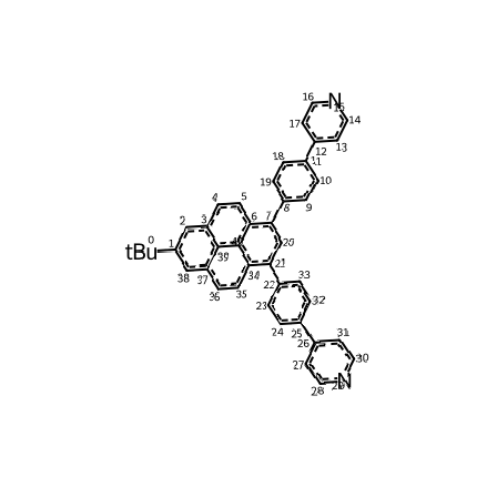 CC(C)(C)c1cc2ccc3c(-c4ccc(-c5ccncc5)cc4)cc(-c4ccc(-c5ccncc5)cc4)c4ccc(c1)c2c34